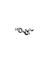 CCOc1nccc(N2CCNCC2)n1